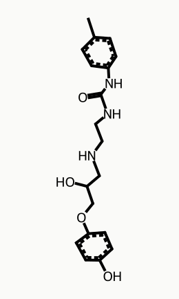 Cc1ccc(NC(=O)NCCNCC(O)COc2ccc(O)cc2)cc1